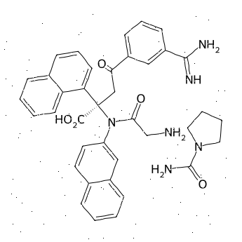 N=C(N)c1cccc(C(=O)C[C@](C(=O)O)(c2cccc3ccccc23)N(C(=O)CN)c2ccc3ccccc3c2)c1.NC(=O)N1CCCC1